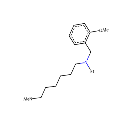 CCN(CCCCCCNC)Cc1ccccc1OC